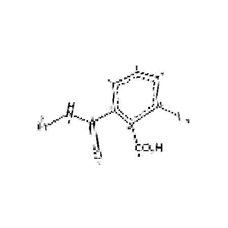 CC(C)NC(=O)c1cccc(I)c1C(=O)O